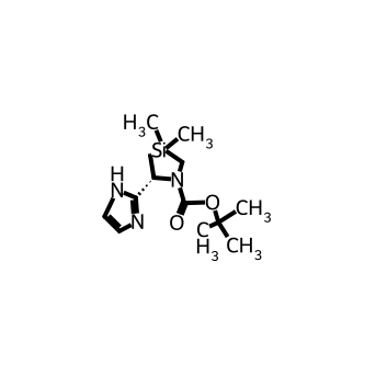 CC(C)(C)OC(=O)N1C[Si](C)(C)C[C@H]1c1ncc[nH]1